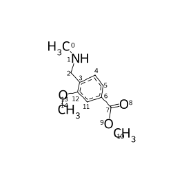 CNCc1ccc(C(=O)OC)cc1OC